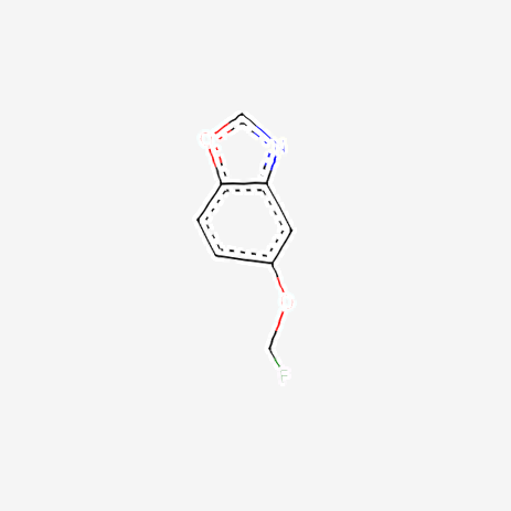 FCOc1ccc2ocnc2c1